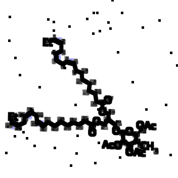 CC/C=C\C/C=C\C/C=C\CCCCCCCC(=O)OCC(COC(=O)CCCCCCC/C=C\C/C=C\C/C=C\CC)CO[C@@H]1O[C@H](COC(C)=O)[C@H](C)[C@H](OC(C)=O)[C@H]1OC(C)=O